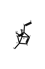 C=CC1=CC2(C)C=C1C2(C)C